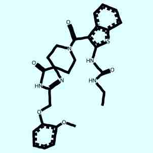 CCNC(=O)Nc1sc2ccccc2c1C(=O)N1CCC2(CC1)N=C(COc1ccccc1OC)NC2=O